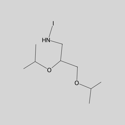 CC(C)OCC(CNI)OC(C)C